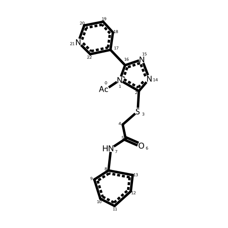 CC(=O)n1c(SCC(=O)Nc2ccccc2)nnc1-c1cccnc1